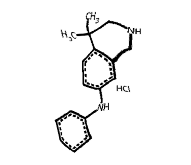 CC1(C)CNCc2cc(Nc3ccccc3)ccc21.Cl